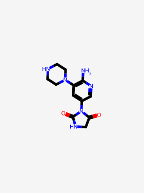 Nc1ncc(N2C(=O)CNC2=O)cc1N1CCNCC1